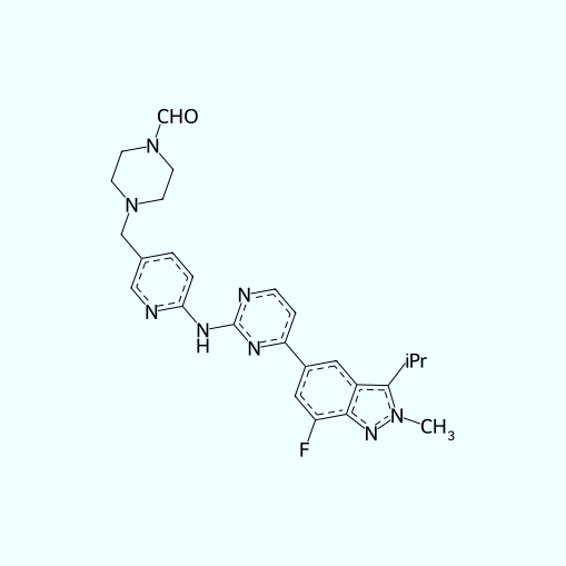 CC(C)c1c2cc(-c3ccnc(Nc4ccc(CN5CCN(C=O)CC5)cn4)n3)cc(F)c2nn1C